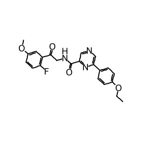 CCOc1ccc(-c2cncc(C(=O)NCC(=O)c3cc(OC)ccc3F)n2)cc1